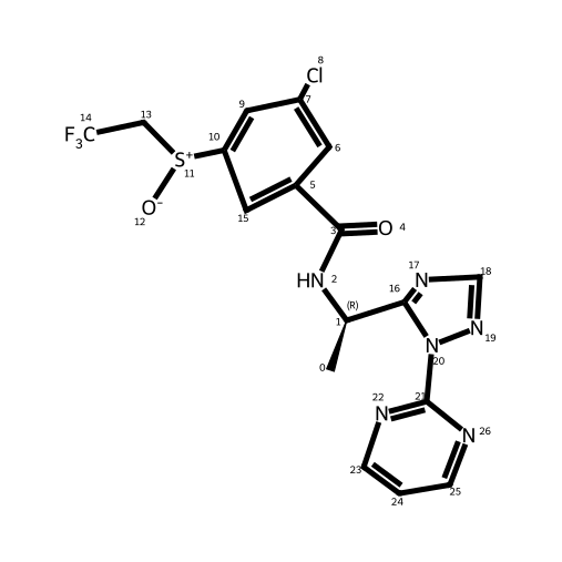 C[C@@H](NC(=O)c1cc(Cl)cc([S+]([O-])CC(F)(F)F)c1)c1ncnn1-c1ncccn1